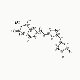 CC[C@H]1C(=O)Nc2c(C)nc(NCc3cnn(Cc4cnc(C)c(F)c4)c3)nc2N1C